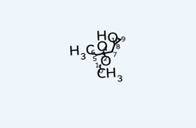 CCOC(O)(CC)CC1CO1